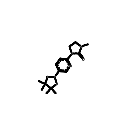 CN1CCN(c2ccc(B3OC(C)(C)C(C)(C)O3)cn2)C1=O